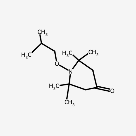 CC(C)CON1C(C)(C)CC(=O)CC1(C)C